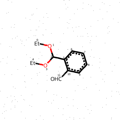 CCOC(OCC)c1ccccc1C=O